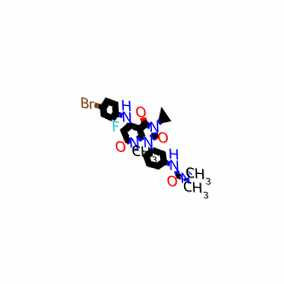 CN(C)C(=O)Nc1cccc(-n2c(=O)n(C3CC3)c(=O)c3c(Nc4ccc(Br)cc4F)cc(=O)n(C)c32)c1